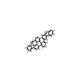 N#Cc1cccc(-c2c(-c3ccc4c(c3)oc3ccccc34)cccc2-c2ccc3oc4ccccc4c3c2)c1